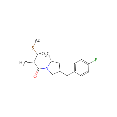 CC(=O)SCC(C)C(=O)N1CC(Cc2ccc(F)cc2)C[C@H]1C(=O)O